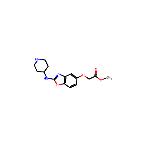 COC(=O)COc1ccc2oc(NC3CCNCC3)nc2c1